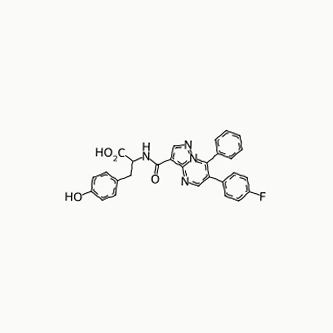 O=C(NC(Cc1ccc(O)cc1)C(=O)O)c1cnn2c(-c3ccccc3)c(-c3ccc(F)cc3)cnc12